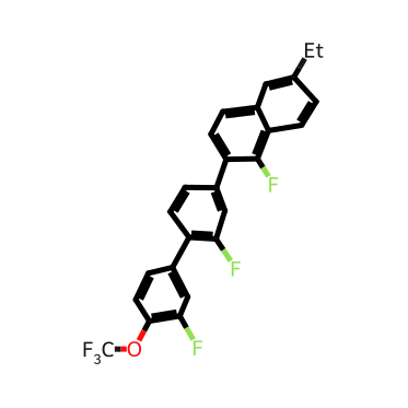 CCc1ccc2c(F)c(-c3ccc(-c4ccc(OC(F)(F)F)c(F)c4)c(F)c3)ccc2c1